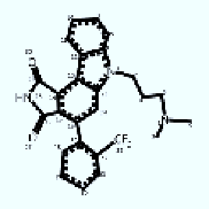 CN(C)CCCn1c2ccccc2c2c3c(c(-c4ccccc4C(F)(F)F)cc21)C(=O)NC3=O